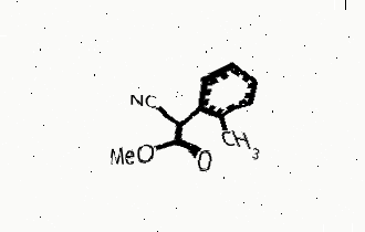 COC(=O)C(C#N)c1ccccc1C